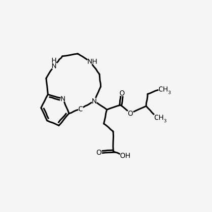 CCC(C)OC(=O)C(CCC(=O)O)N1CCNCCNCc2cccc(n2)C1